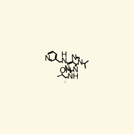 CC(C)n1cnc2c(NCc3cccnc3)nc(N[C@H](C)[C@@H](C)O)nc21